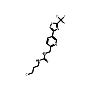 O=C(NCCCCl)NCc1ccc(-c2noc(C(F)(F)F)n2)cn1